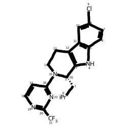 CC(C)C[C@H]1c2[nH]c3ccc(Cl)cc3c2CCN1c1ccnc(C(F)(F)F)n1